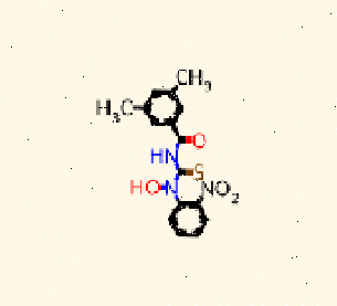 Cc1cc(C)cc(C(=O)NC(=S)N(O)c2ccccc2[N+](=O)[O-])c1